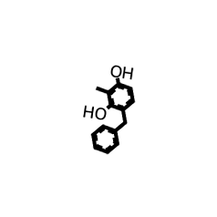 Cc1c(O)ccc(Cc2ccccc2)c1O